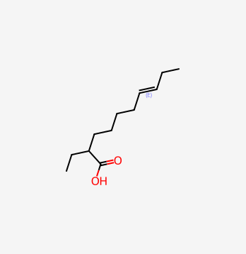 CC/C=C/CCCCC(CC)C(=O)O